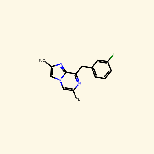 N#Cc1cn2cc(C(F)(F)F)nc2c(Cc2cccc(F)c2)n1